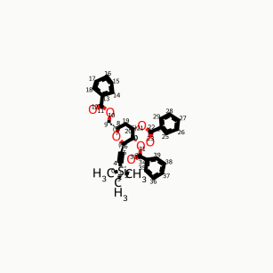 C[Si](C)(C)C#C[C@H]1O[C@H](COC(=O)c2ccccc2)C[C@H](OC(=O)c2ccccc2)[C@@H]1OC(=O)c1ccccc1